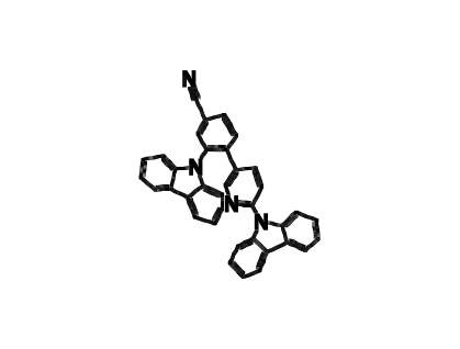 N#Cc1ccc(-c2ccc(-n3c4ccccc4c4ccccc43)nc2)c(-n2c3ccccc3c3ccccc32)c1